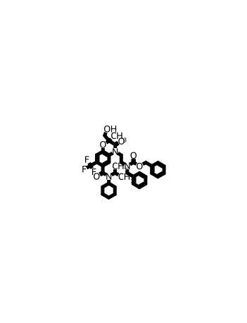 CC(C)N(C(=O)c1cc2c(cc1C(F)(F)F)OC(C)(CO)C(=O)N2CCN(Cc1ccccc1)C(=O)OCc1ccccc1)C1CCCCC1